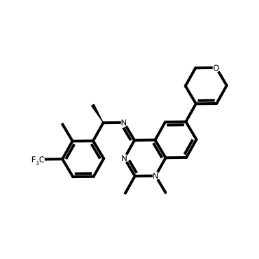 Cc1c([C@@H](C)/N=c2\nc(C)n(C)c3ccc(C4=CCOCC4)cc23)cccc1C(F)(F)F